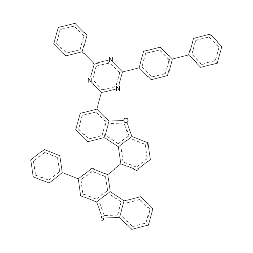 c1ccc(-c2ccc(-c3nc(-c4ccccc4)nc(-c4cccc5c4oc4cccc(-c6cc(-c7ccccc7)cc7sc8ccccc8c67)c45)n3)cc2)cc1